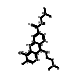 Cc1cnc2c(NCCN(C)C)c3ncc(C(=O)NCN(C)C)cc3nc2c1Cl